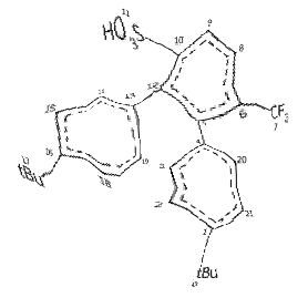 CC(C)(C)c1ccc(-c2c(C(F)(F)F)ccc(S(=O)(=O)O)c2-c2ccc(C(C)(C)C)cc2)cc1